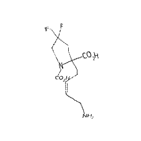 NC/C=C\CC1(C(=O)O)CC(F)(F)CN1C(=O)O